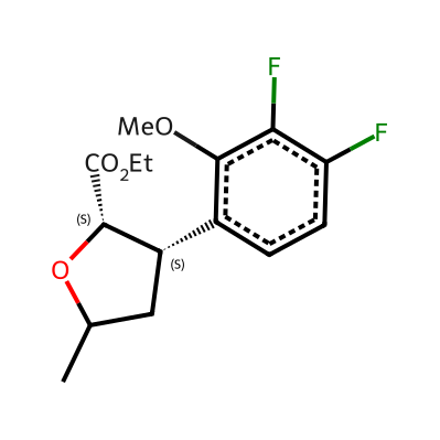 CCOC(=O)[C@H]1OC(C)C[C@H]1c1ccc(F)c(F)c1OC